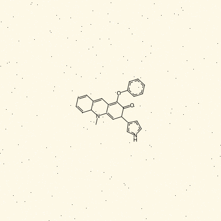 CN1C2=CC(c3cc[nH]c3)C(=O)C(Oc3ccccc3)=C2C=C2C=CC=CC21